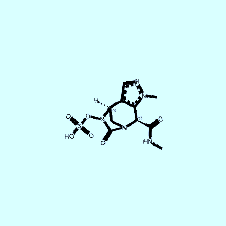 CNC(=O)[C@@H]1c2c(cnn2C)[C@H]2CN1C(=O)N2OS(=O)(=O)O